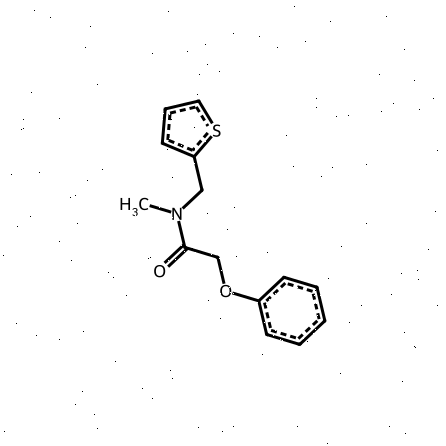 CN(Cc1cccs1)C(=O)COc1ccccc1